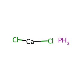 P.[Cl][Ca][Cl]